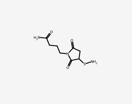 NSC1CC(=O)N(CCCC(N)=O)C1=O